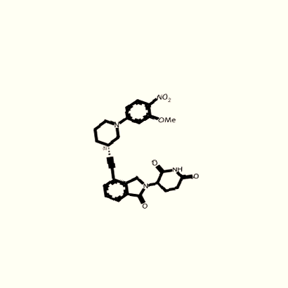 COc1cc(N2CCC[C@@H](C#Cc3cccc4c3CN(C3CCC(=O)NC3=O)C4=O)C2)ccc1[N+](=O)[O-]